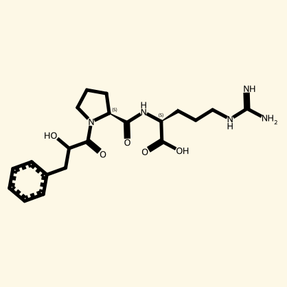 N=C(N)NCCC[C@H](NC(=O)[C@@H]1CCCN1C(=O)C(O)Cc1ccccc1)C(=O)O